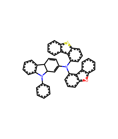 C1=CC2c3ccccc3N(c3ccccc3)C2C=C1N(c1cccc2oc3ccccc3c12)c1cccc2sc3ccccc3c12